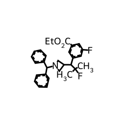 CCOC(=O)c1cc(F)cc(C(C2CN(C(c3ccccc3)c3ccccc3)C2)C(C)(C)F)c1